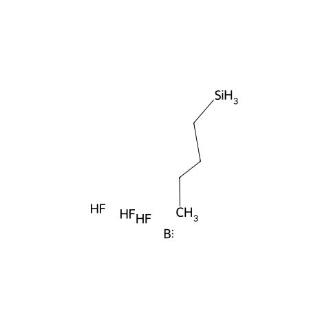 CCCC[SiH3].F.F.F.[B]